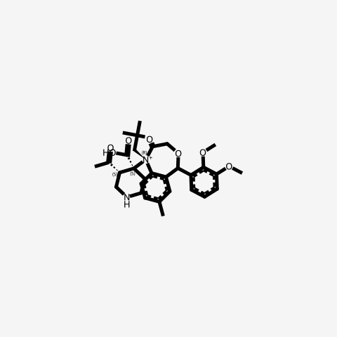 COc1cccc(C2OCC(=O)[N@@+](CC(C)(C)C)([C@@]3(C(=O)O)CCNC[C@@H]3C(C)=O)c3ccc(C)cc32)c1OC